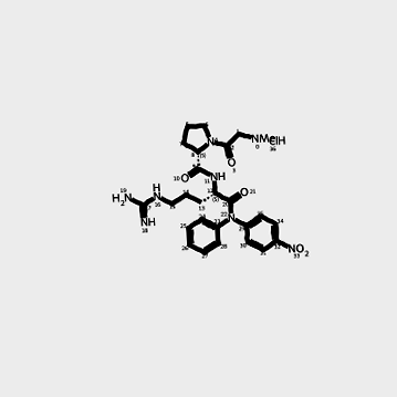 CNCC(=O)N1CCC[C@H]1C(=O)N[C@@H](CCCNC(=N)N)C(=O)N(c1ccccc1)c1ccc([N+](=O)[O-])cc1.Cl